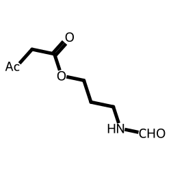 CC(=O)CC(=O)OCCCNC=O